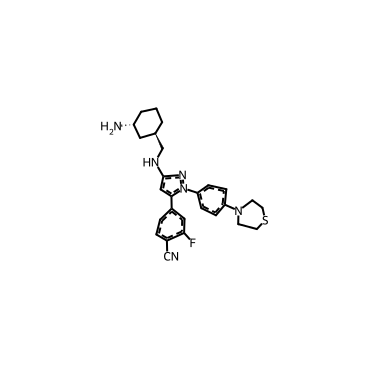 N#Cc1ccc(-c2cc(NC[C@@H]3CCC[C@@H](N)C3)nn2-c2ccc(N3CCSCC3)cc2)cc1F